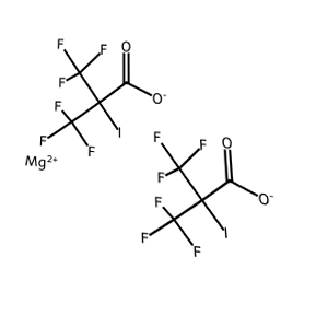 O=C([O-])C(I)(C(F)(F)F)C(F)(F)F.O=C([O-])C(I)(C(F)(F)F)C(F)(F)F.[Mg+2]